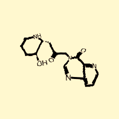 O=C(C[C@H]1NCCC[C@@H]1O)Cn1cnc2cccnc2c1=O